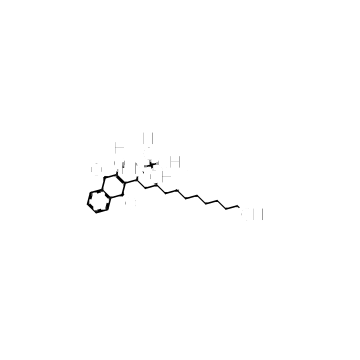 CCCCCCCCCCCC(NC(C)(C)C)C1=C(O)C(=O)c2ccccc2C1=O